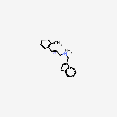 CC1=C(/C=C/CN(C)CC2=CCc3ccccc32)C=CCC1